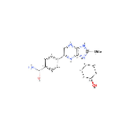 COc1nc2ncc(-c3ccc(C(N)=O)cc3)nc2n1[C@H]1CC[C@H](O)CC1